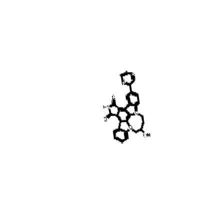 O=C1NC(=O)c2c1c1c3cc(-c4cnccn4)ccc3n3c1c1c2c2ccccc2n1CC(O)CC3